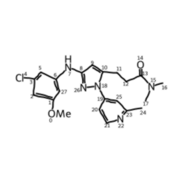 COc1cc(Cl)cc(Nc2cc(CCC(=O)N(C)C)n(-c3ccnc(C)c3)n2)c1